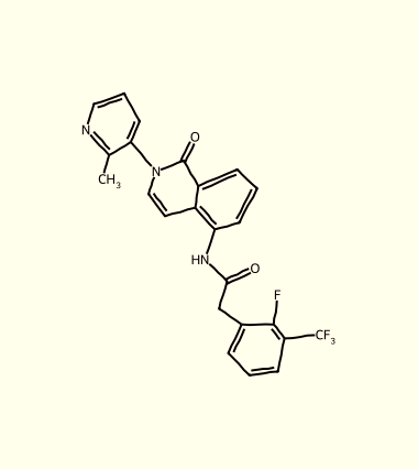 Cc1ncccc1-n1ccc2c(NC(=O)Cc3cccc(C(F)(F)F)c3F)cccc2c1=O